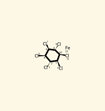 Cl[C@H]1[C@H](Cl)[C@@H](Cl)[C@@H](Cl)[C@H](Cl)[C@H]1Cl.[Fe]